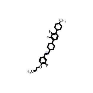 C=CCOc1ccc(/C=C/C2CCC(c3ccc(C4CCC(C)CC4)c(F)c3F)CC2)cc1F